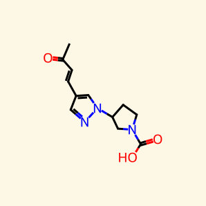 CC(=O)C=Cc1cnn(C2CCN(C(=O)O)C2)c1